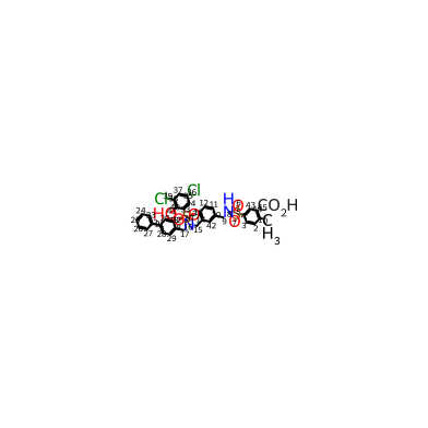 Cc1ccc(S(=O)(=O)NCc2cccc(CN(Cc3ccc(-c4ccccc4)cc3)S(=O)(=O)c3cc(Cl)cc(Cl)c3O)c2)cc1C(=O)O